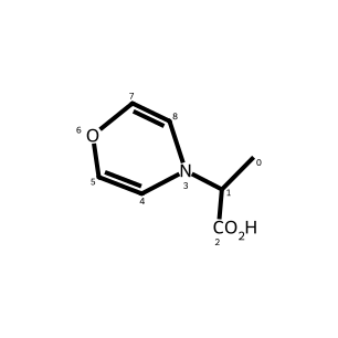 CC(C(=O)O)N1C=COC=C1